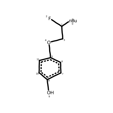 CCCCC(F)COc1ccc(O)cc1